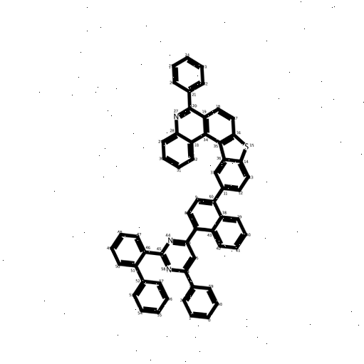 c1ccc(-c2cc(-c3ccc(-c4ccc5sc6ccc7c(-c8ccccc8)nc8ccccc8c7c6c5c4)c4ccccc34)nc(-c3ccccc3-c3ccccc3)n2)cc1